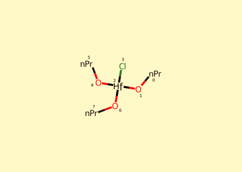 CCC[O][Hf]([Cl])([O]CCC)[O]CCC